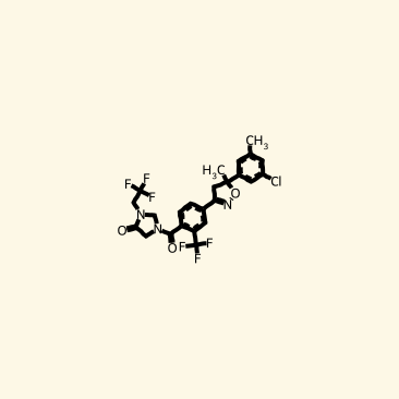 Cc1cc(Cl)cc(C2(C)CC(c3ccc(C(=O)N4CC(=O)N(CC(F)(F)F)C4)c(C(F)(F)F)c3)=NO2)c1